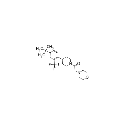 CC(C)(C)c1ccc(C2CCN(C(=O)CN3CCOCC3)CC2)c(C(F)(F)F)c1